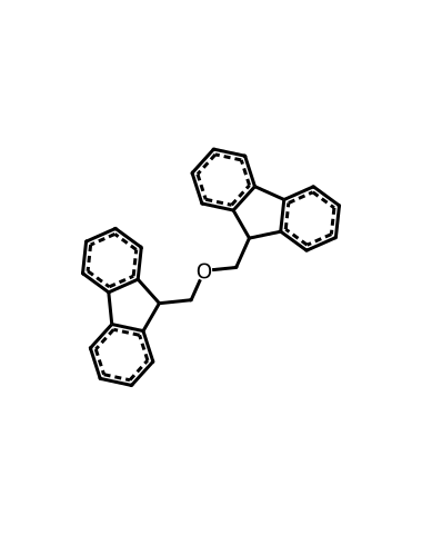 c1ccc2c(c1)-c1ccccc1C2COCC1c2ccccc2-c2ccccc21